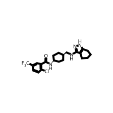 O=C(N[C@H]1CC[C@H](CNc2n[nH]c3c2CCCC3)CC1)c1cc(C(F)(F)F)ccc1Cl